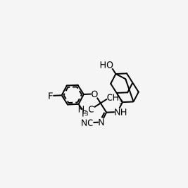 CC(C)(Oc1ccc(F)cc1F)/C(=N\C#N)NC1C2CC3CC1CC(O)(C3)C2